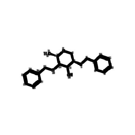 C[C@@H]1OC[C@@H](OCc2ccccc2)C(O)C1OCc1ccccc1